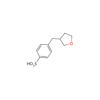 O=S(=O)(O)c1ccc(CC2CCOC2)cc1